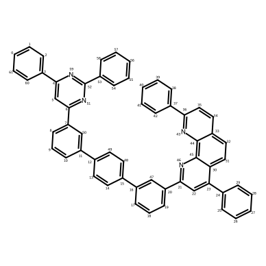 c1ccc(-c2cc(-c3cccc(-c4ccc(-c5cccc(-c6cc(-c7ccccc7)c7ccc8ccc(-c9ccccc9)nc8c7n6)c5)cc4)c3)nc(-c3ccccc3)n2)cc1